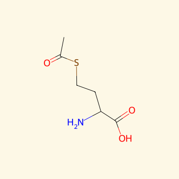 CC(=O)SCCC(N)C(=O)O